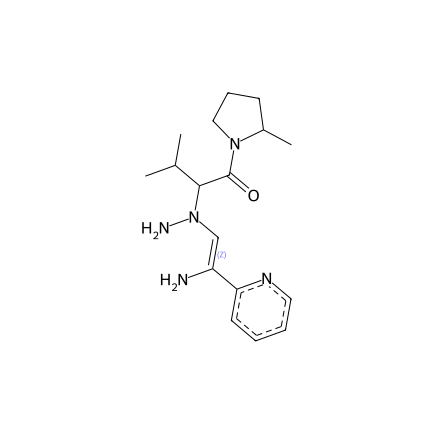 CC(C)C(C(=O)N1CCCC1C)N(N)/C=C(\N)c1ccccn1